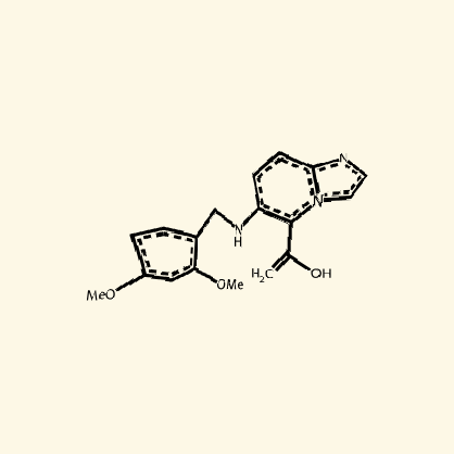 C=C(O)c1c(NCc2ccc(OC)cc2OC)ccc2nccn12